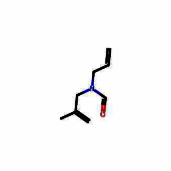 C=CCN(C=O)CC(=C)C